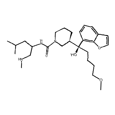 CNCC(CC(C)C)NC(=O)N1CCC[C@@H]([C@@](O)(CCCCOC)c2cccc3ccoc23)C1